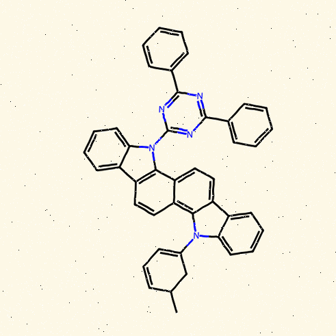 CC1C=CC=C(n2c3ccccc3c3ccc4c(ccc5c6ccccc6n(-c6nc(-c7ccccc7)nc(-c7ccccc7)n6)c45)c32)C1